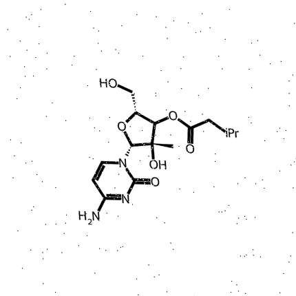 CC(C)CC(=O)OC1[C@@H](CO)O[C@@H](n2ccc(N)nc2=O)[C@@]1(C)O